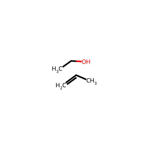 C=CC.CCO